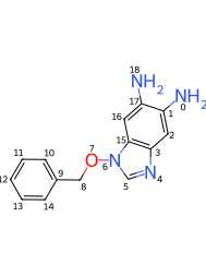 Nc1cc2ncn(OCc3ccccc3)c2cc1N